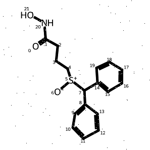 O=C(CCC[S+]([O-])C(c1ccccc1)c1ccccc1)NO